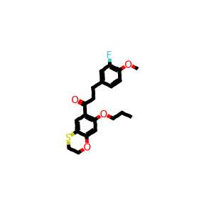 CCCOc1cc2c(cc1C(=O)CCc1ccc(OC)c(F)c1)SCCO2